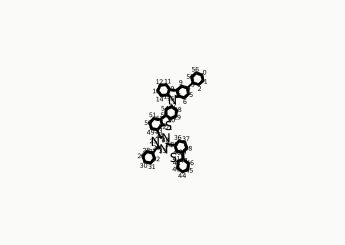 c1ccc(-c2ccc3c(c2)c2ccccc2n3-c2ccc3sc4c(-c5nc(-c6ccccc6)nc(-c6cccc7c6sc6ccccc67)n5)cccc4c3c2)cc1